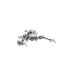 CCCCCCCOc1ccc(C2=CNC(c3ccc(C[C@H](NC(=O)c4ccc(C(C)(C)C)s4)C(=O)N[C@@H](CSSC[C@H](N)C(=O)O)C(=O)O)cc3)N=C2)cc1